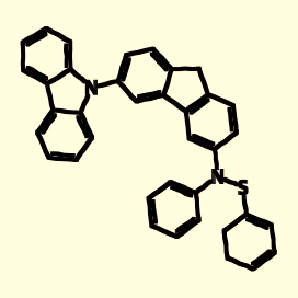 C1=CCCC(SN(c2ccccc2)c2ccc3c(c2)-c2cc(-n4c5ccccc5c5ccccc54)ccc2C3)=C1